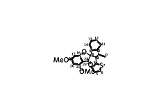 C=C[C@@H](c1cccs1)C1(c2ccccc2)Oc2cc(OC)cc(OC)c2C1=O